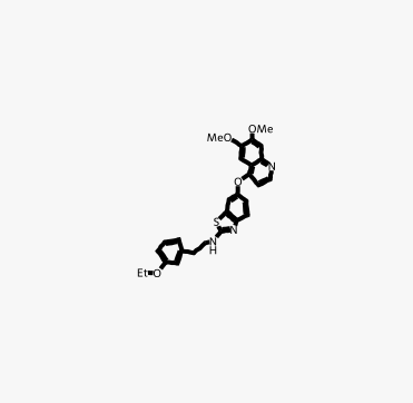 CCOc1cccc(CCNc2nc3ccc(Oc4ccnc5cc(OC)c(OC)cc45)cc3s2)c1